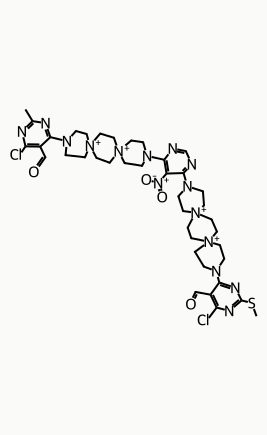 CSc1nc(Cl)c(C=O)c(N2CC[N+]3(CC2)CC[N+]2(CCN(c4ncnc(N5CC[N+]6(CC5)CC[N+]5(CCN(c7nc(C)nc(Cl)c7C=O)CC5)CC6)c4[N+](=O)[O-])CC2)CC3)n1